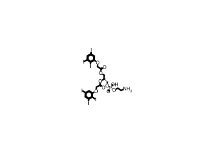 NCCOP(=O)(O)OC[C@@H](COC(=O)COc1cc(I)cc(I)c1I)OC(=O)COc1cc(I)cc(I)c1I